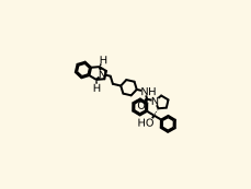 O=C(NC1CCC(CCN2[C@@H]3CC[C@H]2c2ccccc23)CC1)N1CCC[C@@H]1C(O)(c1ccccc1)c1ccccc1